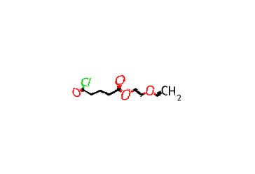 C=COCCOC(=O)CCCC(=O)Cl